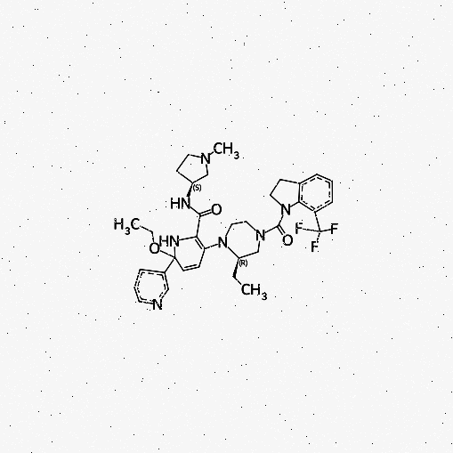 CCOC1(c2cccnc2)C=CC(N2CCN(C(=O)N3CCc4cccc(C(F)(F)F)c43)C[C@H]2CC)=C(C(=O)N[C@H]2CCN(C)C2)N1